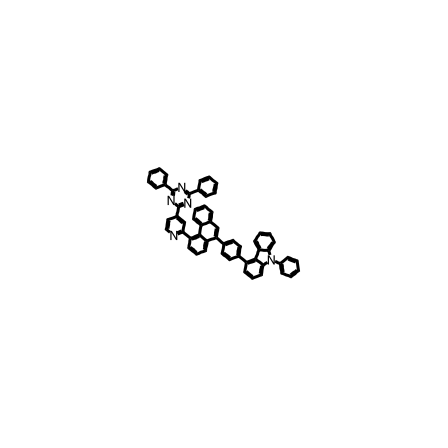 c1ccc(-c2nc(-c3ccccc3)nc(-c3ccnc(-c4cccc5c(-c6ccc(-c7cccc8c7c7ccccc7n8-c7ccccc7)cc6)cc6ccccc6c45)c3)n2)cc1